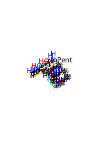 CCCCCNC(=S)Nc1ccc(F)c(F)c1O.Cc1ccccc1CNC(=S)Nc1ccc(F)c(F)c1O.Oc1c(F)cc(Br)cc1NC(=S)Nc1ccccc1.Oc1c(NC(=S)NCCc2ccccc2)ccc(F)c1F.Oc1c(NC(=S)NCc2ccccc2)ccc(F)c1F